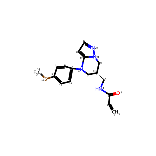 C=CC(=O)NC[C@@H]1CN(c2ccc(SC(F)(F)F)cc2)c2ccnn2C1